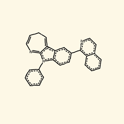 C1=CN=c2c(c3cc(-c4nccc5ccccc45)ccc3n2-c2ccccc2)=CC1